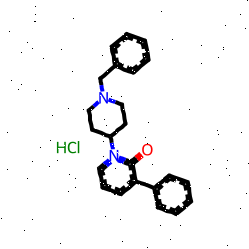 Cl.O=c1c(-c2ccccc2)cccn1C1CCN(Cc2ccccc2)CC1